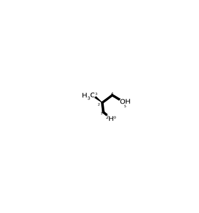 [2H]C[C@@H](C)CO